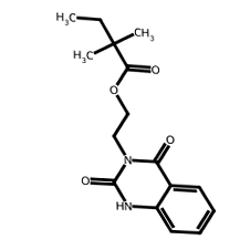 CCC(C)(C)C(=O)OCCn1c(=O)[nH]c2ccccc2c1=O